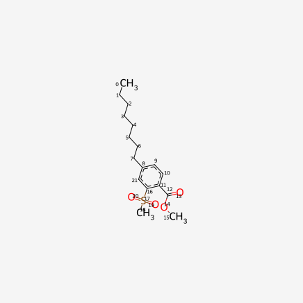 CCCCCCCCc1ccc(C(=O)OC)c(S(C)(=O)=O)c1